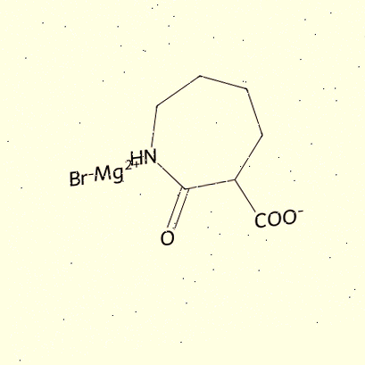 O=C([O-])C1CCCCNC1=O.[Br-].[Mg+2]